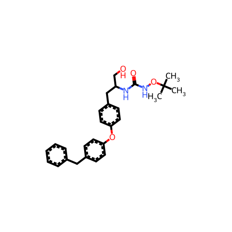 CC(C)(C)ONC(=O)NC(CO)Cc1ccc(Oc2ccc(Cc3ccccc3)cc2)cc1